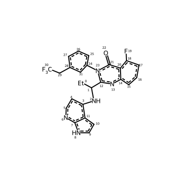 CCC(Nc1ccnc2[nH]ccc12)c1nc2cccc(F)c2c(=O)n1-c1cccc(CC(F)(F)F)c1